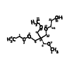 CCOOCC(COC)(COC)COCCO